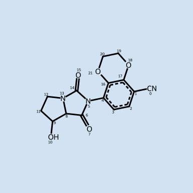 N#Cc1ccc(N2C(=O)C3C(O)CCN3C2=O)c2c1OCCO2